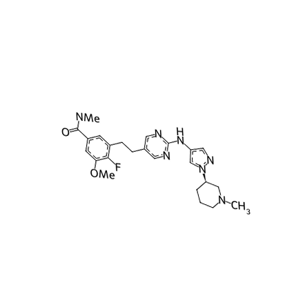 CNC(=O)c1cc(CCc2cnc(Nc3cnn([C@@H]4CCCN(C)C4)c3)nc2)c(F)c(OC)c1